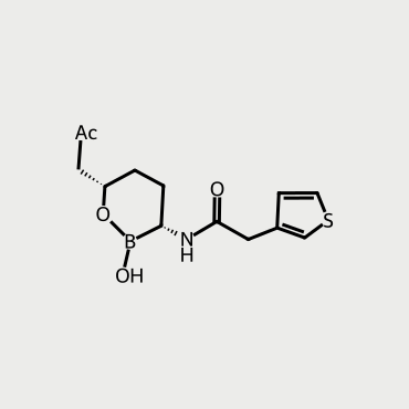 CC(=O)C[C@@H]1CC[C@H](NC(=O)Cc2ccsc2)B(O)O1